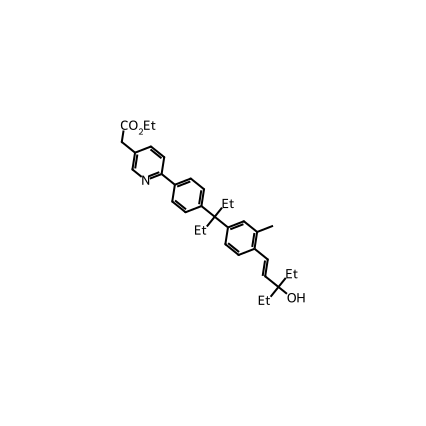 CCOC(=O)Cc1ccc(-c2ccc(C(CC)(CC)c3ccc(C=CC(O)(CC)CC)c(C)c3)cc2)nc1